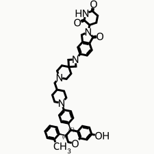 Cc1ccccc1[C@@H]1COc2cc(O)ccc2[C@@H]1c1ccc(N2CCC(CN3CCC4(CC3)CN(c3ccc5c(c3)CN(C3CCC(=O)NC3=O)C5=O)C4)CC2)cc1